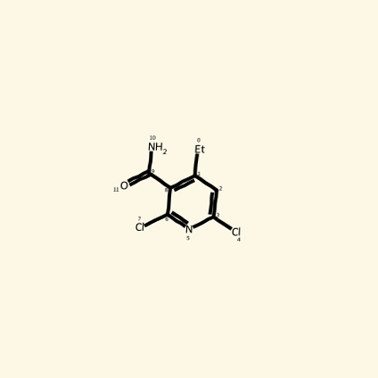 CCc1cc(Cl)nc(Cl)c1C(N)=O